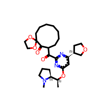 C[C@H](Oc1cc([C@@H]2CCOC2)nc(C(=O)C2CCCCCCCC3(OCCO3)C2=O)n1)[C@@H]1CCCN1C